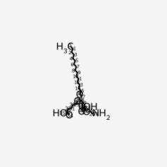 CCCCCCCCCCCCCCCCOC[C@H](COP(=O)(O)OCCN)OCCCCC(=O)O